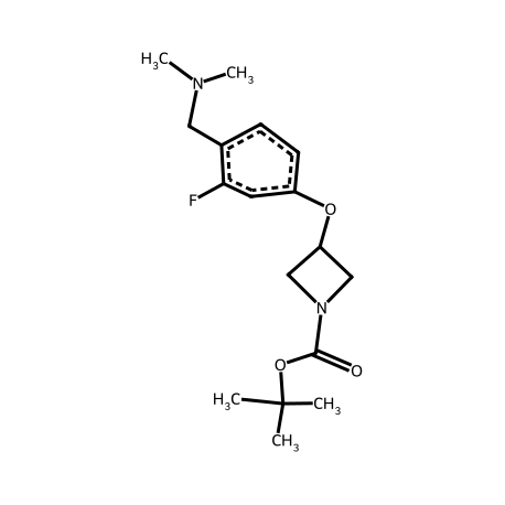 CN(C)Cc1ccc(OC2CN(C(=O)OC(C)(C)C)C2)cc1F